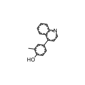 Cc1cc(-c2ccnc3ccccc23)ccc1O